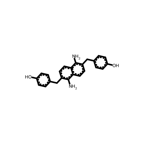 Nc1c(Cc2ccc(O)cc2)ccc2c(N)c(Cc3ccc(O)cc3)ccc12